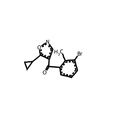 Cc1c(Br)cccc1C(=O)c1cnoc1C1CC1